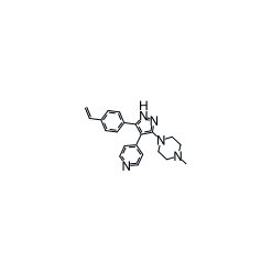 C=Cc1ccc(-c2[nH]nc(N3CCN(C)CC3)c2-c2ccncc2)cc1